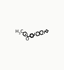 CC1CCN(C(=O)c2ccc(N3CCC4(CC3)CCN(C3CCC3)CC4)cc2)CC1